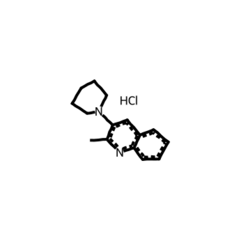 Cc1nc2ccccc2cc1N1CCCCC1.Cl